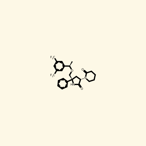 C[C@@H](OC[C@@]1(c2ccccc2)C[C@H](N2CCCCC2=O)C(=O)N1)c1cc(C(F)(F)F)cc(C(F)(F)F)c1